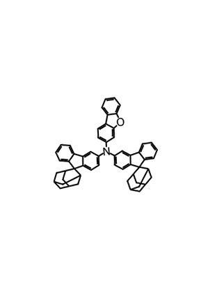 c1ccc2c(c1)-c1cc(N(c3ccc4c(c3)-c3ccccc3C43C4CC5CC(C4)CC3C5)c3ccc4c(c3)oc3ccccc34)ccc1C21C2CC3CC(C2)CC1C3